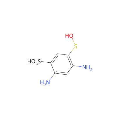 Nc1cc(N)c(S(=O)(=O)O)cc1SO